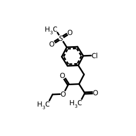 CCOC(=O)C(Cc1ccc(S(C)(=O)=O)cc1Cl)C(C)=O